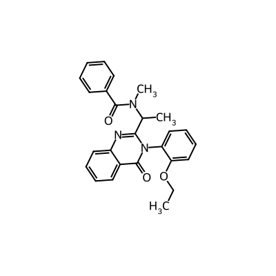 CCOc1ccccc1-n1c(C(C)N(C)C(=O)c2ccccc2)nc2ccccc2c1=O